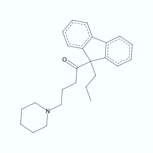 CCCC1(C(=O)CCCN2CCCCC2)c2ccccc2-c2ccccc21